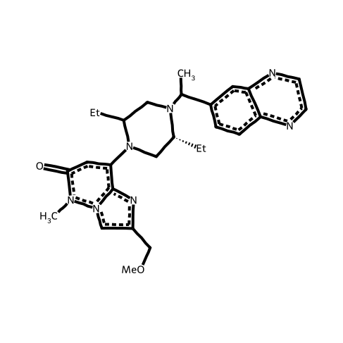 CCC1CN(C(C)c2ccc3nccnc3c2)[C@H](CC)CN1c1cc(=O)n(C)n2cc(COC)nc12